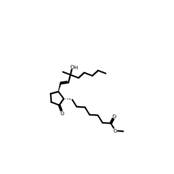 CCCCCC(C)(O)C=C[C@@H]1CCC(=O)[C@H]1CCCCCCC(=O)OC